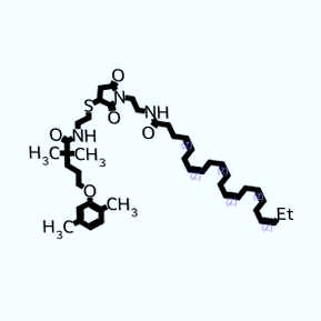 CC/C=C\C/C=C\C/C=C\C/C=C\C/C=C\C/C=C\CCC(=O)NCCN1C(=O)CC(SCCNC(=O)C(C)(C)CCCOc2cc(C)ccc2C)C1=O